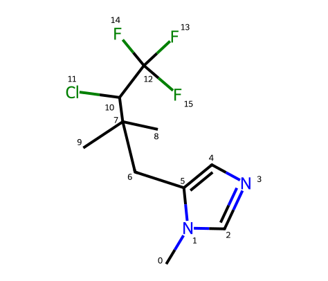 Cn1cncc1CC(C)(C)C(Cl)C(F)(F)F